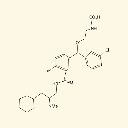 CNC(CNC(=O)c1cc(C(OCCNC(=O)O)c2cccc(Cl)c2)ccc1F)CC1CCCCC1